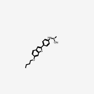 CCCCOc1ccc2cc(-c3ccc(NB(C)O)cc3)sc2c1